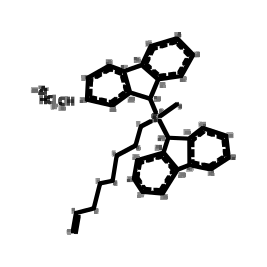 C=CCCCCCC[Si](C)(C1c2ccccc2-c2ccccc21)C1c2ccccc2-c2ccccc21.Cl.Cl.[Zr]